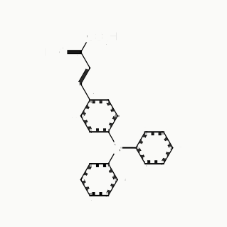 C=C(C=Cc1ccc(N(c2ccccc2)c2ccccc2)cc1)C(=O)O